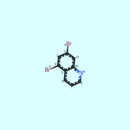 Brc1cc(Br)c2cccnc2c1